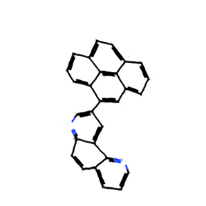 c1cnc2c(c1)ccc1ncc(-c3cc4cccc5ccc6cccc3c6c54)cc12